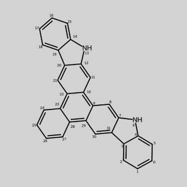 c1ccc2c(c1)[nH]c1cc3c4cc5[nH]c6ccccc6c5cc4c4ccccc4c3cc12